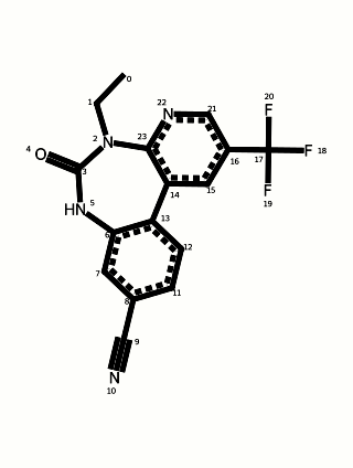 CCN1C(=O)Nc2cc(C#N)ccc2-c2cc(C(F)(F)F)cnc21